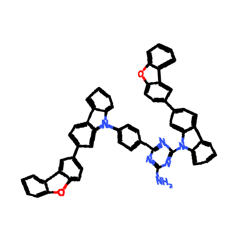 Nc1nc(-c2ccc(-n3c4ccccc4c4ccc(-c5ccc6oc7ccccc7c6c5)cc43)cc2)nc(-n2c3ccccc3c3ccc(-c4ccc5oc6ccccc6c5c4)cc32)n1